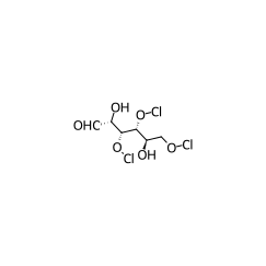 O=C[C@H](O)[C@@H](OCl)[C@H](OCl)[C@H](O)COCl